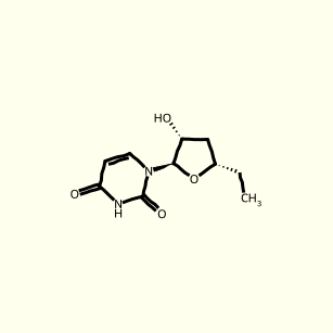 CC[C@H]1C[C@@H](O)[C@H](n2ccc(=O)[nH]c2=O)O1